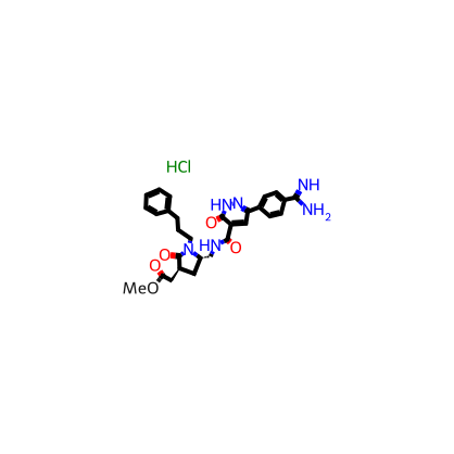 COC(=O)C[C@@H]1C[C@@H](CNC(=O)c2cc(-c3ccc(C(=N)N)cc3)n[nH]c2=O)N(CCCc2ccccc2)C1=O.Cl